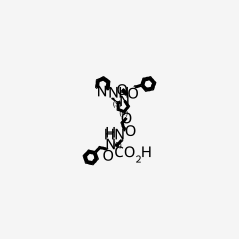 O=C(CO[C@@H]1C[C@@H](CNc2ccccn2)N(C(=O)OCc2ccccc2)C1)NC[C@H](NC(=O)Cc1ccccc1)C(=O)O